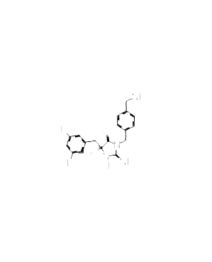 C[C@]1(Cc2cc(F)cc(F)c2)NC(=N)N(Cc2ccc(CN)cc2)C1=O